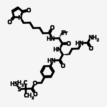 CC(C)[C@@H](NC(=O)CCCCCN1C(=O)C=CC1=O)C(=O)N[C@H](CCCNC(N)=O)C(=O)Nc1ccc(COC(=O)C(C)(C)SS)cc1